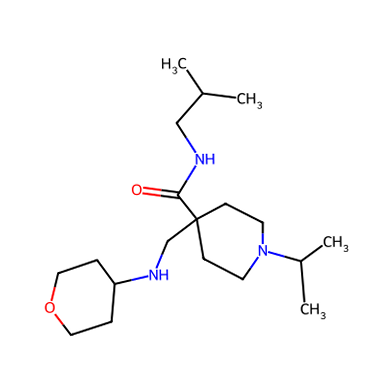 CC(C)CNC(=O)C1(CNC2CCOCC2)CCN(C(C)C)CC1